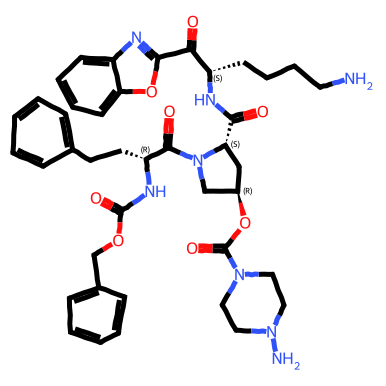 NCCCC[C@H](NC(=O)[C@@H]1C[C@@H](OC(=O)N2CCN(N)CC2)CN1C(=O)[C@@H](CCc1ccccc1)NC(=O)OCc1ccccc1)C(=O)c1nc2ccccc2o1